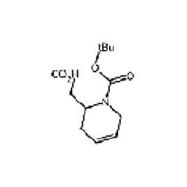 CC(C)(C)OC(=O)N1CC=CCC1CC(=O)O